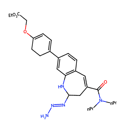 CCCN(CCC)C(=O)C1=Cc2ccc(C3=CC=C(OCC(=O)OCC)CC3)cc2NC(N=NN)C1